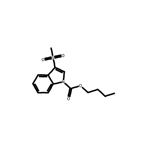 CCCCOC(=O)n1cc(S(C)(=O)=O)c2ccccc21